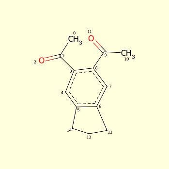 CC(=O)c1cc2c(cc1C(C)=O)CCC2